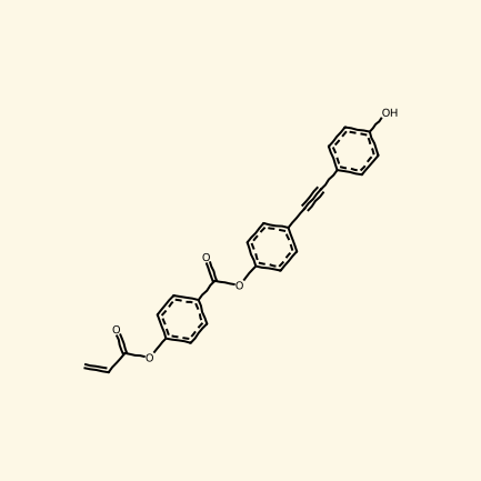 C=CC(=O)Oc1ccc(C(=O)Oc2ccc(C#Cc3ccc(O)cc3)cc2)cc1